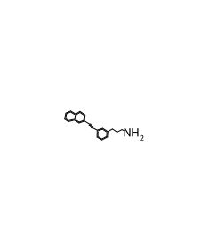 NCCCc1cccc(C#Cc2ccc3ccccc3c2)c1